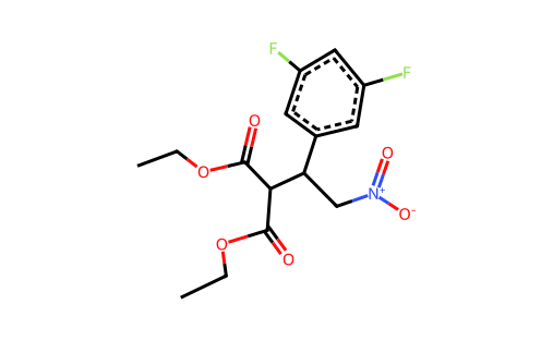 CCOC(=O)C(C(=O)OCC)C(C[N+](=O)[O-])c1cc(F)cc(F)c1